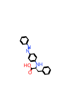 O=C(O)[C@H](Cc1ccccc1)Nc1ccc(N=Nc2ccccc2)cc1